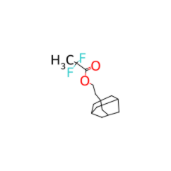 CC(F)(F)C(=O)OCCC12CC3CC(CC(C3)C1)C2